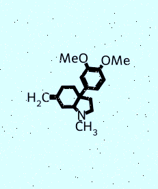 C=C1CCC2(c3ccc(OC)c(OC)c3)CCN(C)C2C1